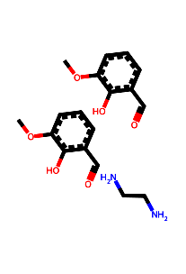 COc1cccc(C=O)c1O.COc1cccc(C=O)c1O.NCCN